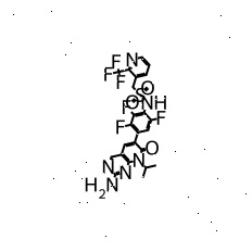 CC(C)n1c(=O)c(-c2cc(F)c(NS(=O)(=O)Cc3cccnc3C(F)(F)F)c(F)c2F)cc2cnc(N)nc21